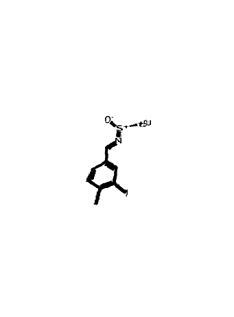 Cc1ccc(/C=N/[S@@+]([O-])C(C)(C)C)cc1I